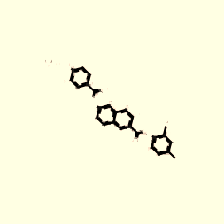 COc1ccc(C(=O)Oc2ccc3cc(C(=O)Oc4ccc(C)cc4C)ccc3c2)cc1